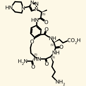 C[C@@H](C(=O)Nc1ccc2c(c1)C(=O)N[C@@H](CCC(=O)O)C(=O)N[C@@H](CCCCN)C(=O)N[C@H](C(N)=O)CCO2)n1cc(N2CCNCC2)nn1